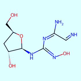 N=C/C(N)=N\C(=N/O)N[C@@H]1O[C@H](CO)C[C@H]1O